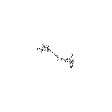 Cc1noc(C)c1-c1ccnc2c1nc(-c1ccc(N3CCN(C(=O)CCOCCOCCOCCNc4cccc5c4C(=O)N(C4CCC(=O)NC4=O)C5=O)CC3)cc1)n2NCc1ccccc1